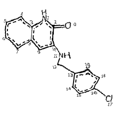 O=c1[nH]c2ccccc2cc1NCc1ccc(Cl)cc1